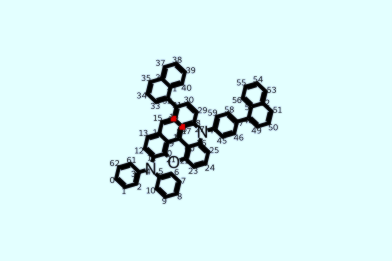 c1ccc(N(c2ccccc2)c2ccc3cccc4c3c2Oc2cccc(N(c3ccc(-c5cccc6ccccc56)cc3)c3ccc(-c5cccc6ccccc56)cc3)c2-4)cc1